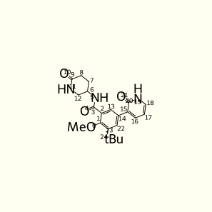 COc1c(C(=O)NC2CCC(=O)NC2)cc(-c2ccc[nH]c2=O)cc1C(C)(C)C